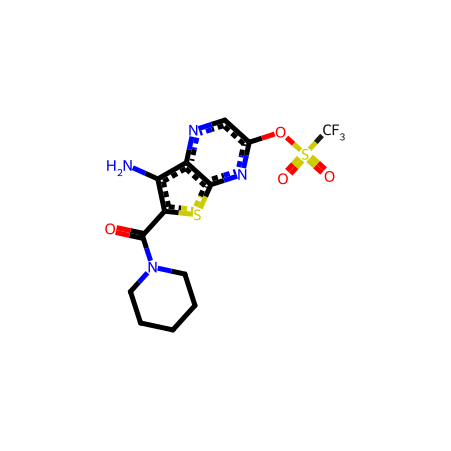 Nc1c(C(=O)N2CCCCC2)sc2nc(OS(=O)(=O)C(F)(F)F)cnc12